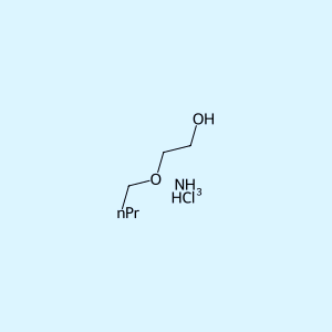 CCCCOCCO.Cl.N